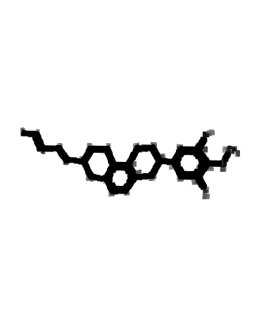 CC=CCCC1CCc2c(ccc3c2CCC(c2cc(F)c(OC(F)(F)F)c(F)c2)C3)C1